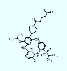 CC(=O)CCCC(=O)N1CCC(c2cc(OC(C)C)c(NC3=NC=C(Cl)C(Nc4ccccc4S(=O)(=O)C(C)C)N3)cc2C)CC1